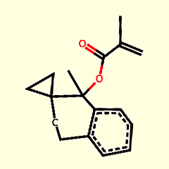 C=C(C)C(=O)OC1(C)c2ccccc2CCC12CC2